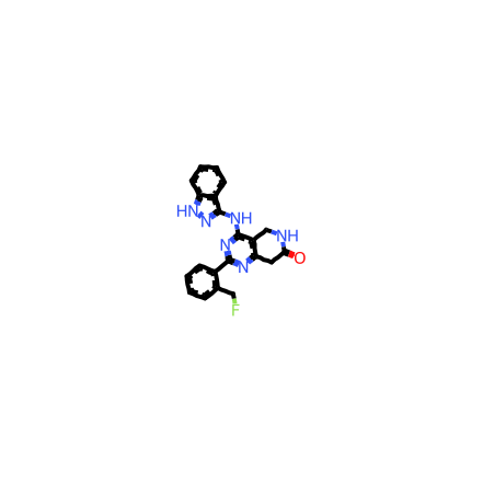 O=C1Cc2nc(-c3ccccc3CF)nc(Nc3n[nH]c4ccccc34)c2CN1